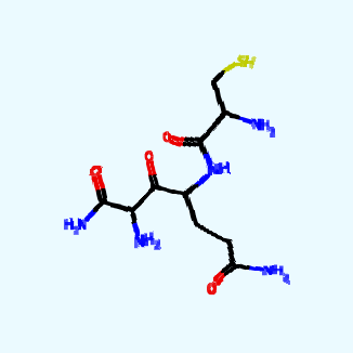 NC(=O)CCC(NC(=O)C(N)CS)C(=O)C(N)C(N)=O